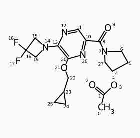 CC(=O)O[C@H]1CCN(C(=O)c2cnc(N3CC(F)(F)C3)c(OCC3CC3)n2)C1